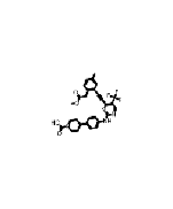 COC(=O)Cc1ccc(C)cc1C#Cc1nc(Nc2ccc(C3CCN(C(=O)O)CC3)cc2)ncc1C(F)(F)F